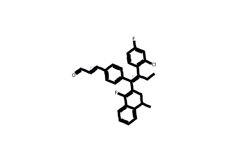 CC/C(=C(\C1=C(F)c2ccccc2C(C)C1)c1ccc(/C=C/C=O)cc1)c1ccc(F)cc1Cl